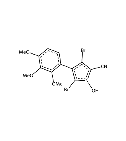 COc1ccc(-c2c(Br)c(C#N)n(O)c2Br)c(OC)c1OC